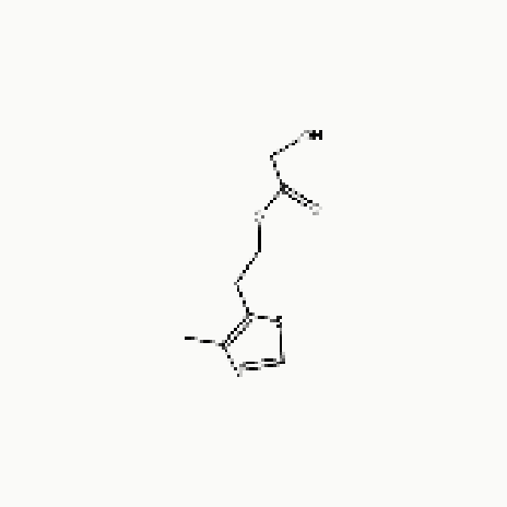 Cc1ncsc1CCOC(=O)CO